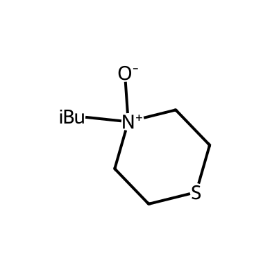 [CH2]C(CC)[N+]1([O-])CCSCC1